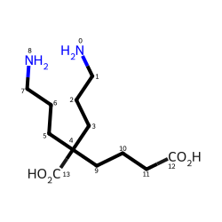 NCCCC(CCCN)(CCCC(=O)O)C(=O)O